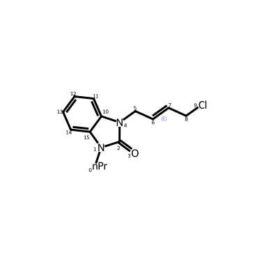 CCCn1c(=O)n(C/C=C/CCl)c2ccccc21